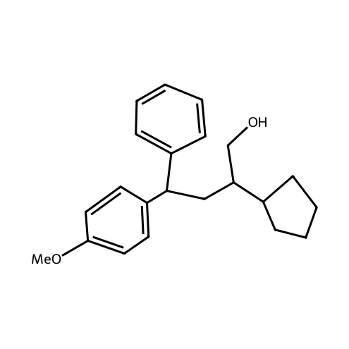 COc1ccc(C(CC(CO)C2CCCC2)c2ccccc2)cc1